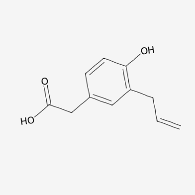 C=CCc1cc(CC(=O)O)ccc1O